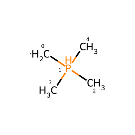 [CH2][PH](C)(C)C